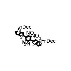 CCCCCCCCCCCn1ccc2sc(-c3c([N+](=O)[O-])c([N+](=O)[O-])c(-c4cc5c(ccn5CCCCCCCCCCC)s4)c4nsnc34)cc21